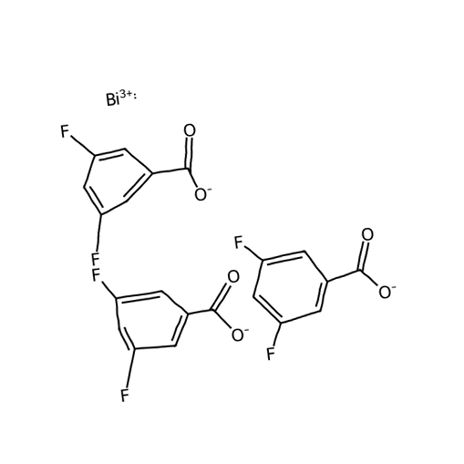 O=C([O-])c1cc(F)cc(F)c1.O=C([O-])c1cc(F)cc(F)c1.O=C([O-])c1cc(F)cc(F)c1.[Bi+3]